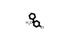 CCC1CCC(C)(C2CCCCC2)CC1